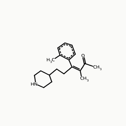 CC(=O)/C(C)=C(/CCC1CCNCC1)c1ccccc1C